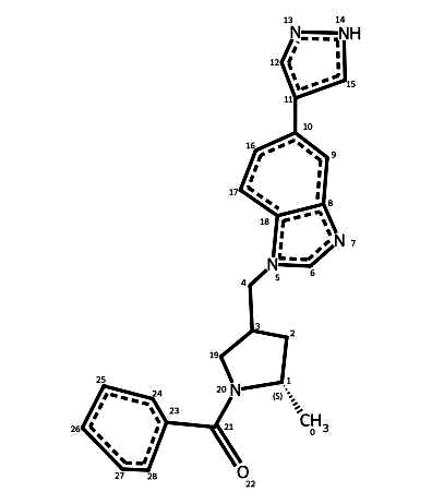 C[C@H]1CC(Cn2cnc3cc(-c4cn[nH]c4)ccc32)CN1C(=O)c1ccccc1